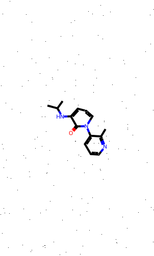 Cc1ncccc1-n1cccc(NC(C)C)c1=O